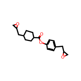 O=C(Oc1ccc(CC2CO2)cc1)C1CCC(CC2CO2)CC1